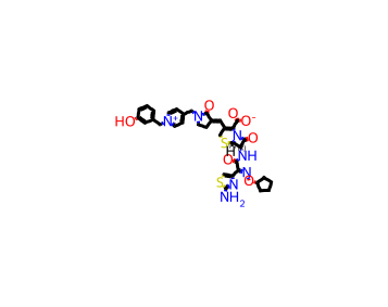 Nc1nc(C(=NOC2CCCC2)C(=O)N[C@@H]2C(=O)N3C(C(=O)[O-])=C(C=C4CCN(Cc5cc[n+](Cc6cccc(O)c6)cc5)C4=O)CS[C@H]23)cs1